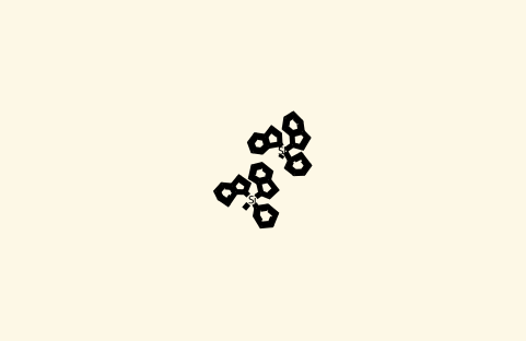 C[Si](c1ccccc1)(C1C=Cc2ccccc21)C1C=Cc2ccccc21.C[Si](c1ccccc1)(C1C=Cc2ccccc21)C1C=Cc2ccccc21